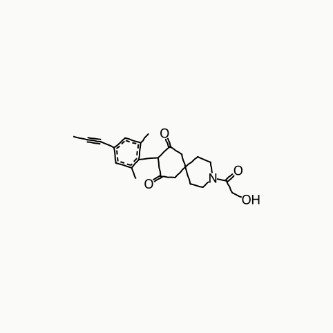 CC#Cc1cc(C)c(C2C(=O)CC3(CCN(C(=O)CO)CC3)CC2=O)c(C)c1